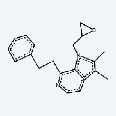 Cc1c(C)n(CC2CO2)c2c(CCc3ccccc3)nccc12